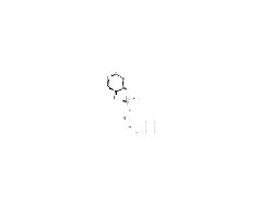 [CH2]C(S)CCc1nc2ccccc2s1